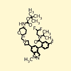 CC(C)N(CC(F)F)C(=O)c1cc(F)ccc1-c1cc(C2CN(C[C@@H]3CC[C@@H](NC(=O)OC(C)(C)C)CO3)C2)cc2c1cnn2C